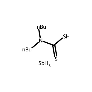 CCCCN(CCCC)C(=S)S.[SbH3]